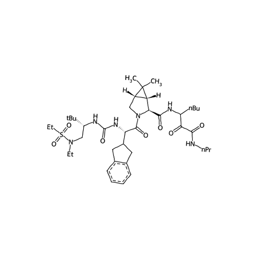 CCCCC(NC(=O)[C@@H]1[C@@H]2[C@H](CN1C(=O)[C@@H](NC(=O)N[C@H](CN(CC)S(=O)(=O)CC)C(C)(C)C)C1Cc3ccccc3C1)C2(C)C)C(=O)C(=O)NCCC